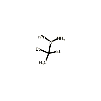 CCCN(N)C(C)(CC)CC